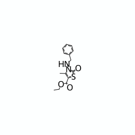 CCOC(=O)c1sc(=O)n(NCc2ccccc2)c1C